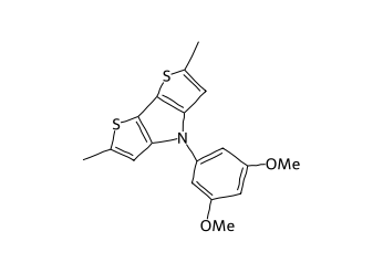 COc1cc(OC)cc(-n2c3cc(C)sc3c3sc(C)cc32)c1